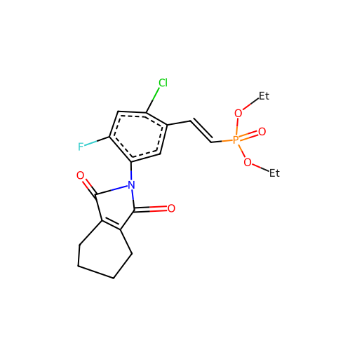 CCOP(=O)(C=Cc1cc(N2C(=O)C3=C(CCCC3)C2=O)c(F)cc1Cl)OCC